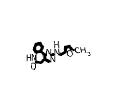 Cc1ccc(CNc2ncc3c(n2)-c2ccccc2NC(=O)C3)o1